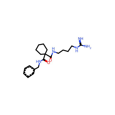 N=C(N)NCCCCNC(=O)C1(C(=O)NCc2ccccc2)CCCCC1